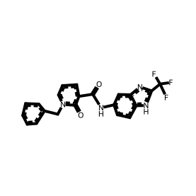 O=C(Nc1ccc2[nH]c(C(F)(F)F)nc2c1)c1cccn(Cc2ccccc2)c1=O